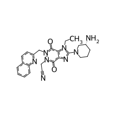 CCn1c(N2CCC[C@@H](N)C2)nc2c(=O)n(CC#N)n(Cc3ccc4ccccc4n3)c(=O)c21